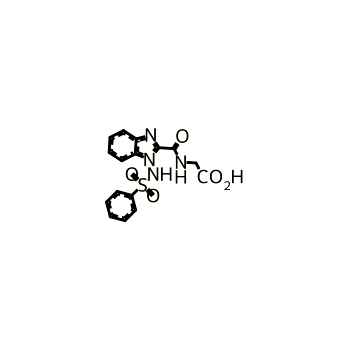 O=C(O)CNC(=O)c1nc2ccccc2n1NS(=O)(=O)c1ccccc1